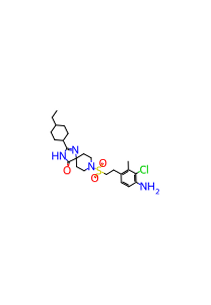 CCC1CCC(C2=NC3(CCN(S(=O)(=O)CCc4ccc(N)c(Cl)c4C)CC3)C(=O)N2)CC1